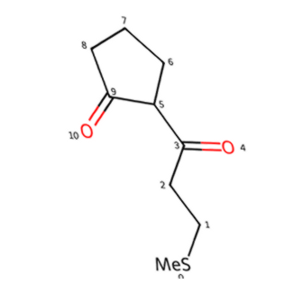 CSCCC(=O)C1CCCC1=O